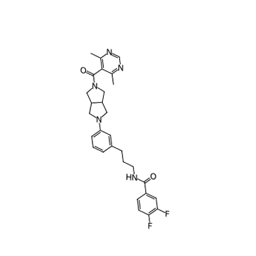 Cc1ncnc(C)c1C(=O)N1CC2CN(c3cccc(CCCNC(=O)c4ccc(F)c(F)c4)c3)CC2C1